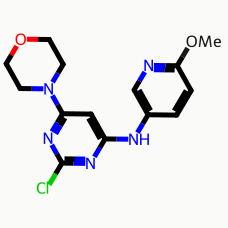 COc1ccc(Nc2cc(N3CCOCC3)nc(Cl)n2)cn1